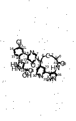 C[C@@H]1CCC[C@H](n2cnc(-c3cc(Cl)ccc3N3C=C(C(=O)O)NN3)cc2=O)c2ccnc(c2)-c2c(cnn2C)NC1=O